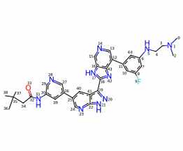 CN(C)CCNc1cc(F)cc(-c2cncc3[nH]c(-c4n[nH]c5ncc(-c6cncc(NC(=O)CC(C)(C)C)c6)cc45)nc23)c1